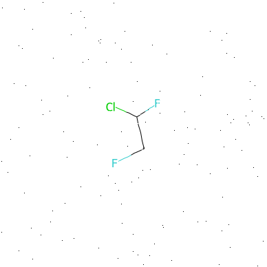 FCC(F)Cl